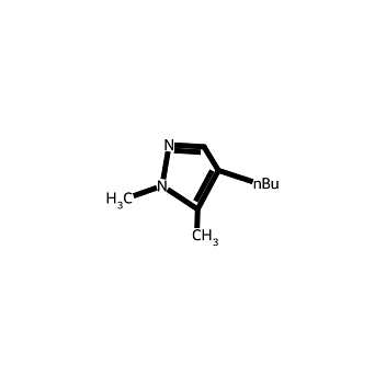 CCCCc1cnn(C)c1C